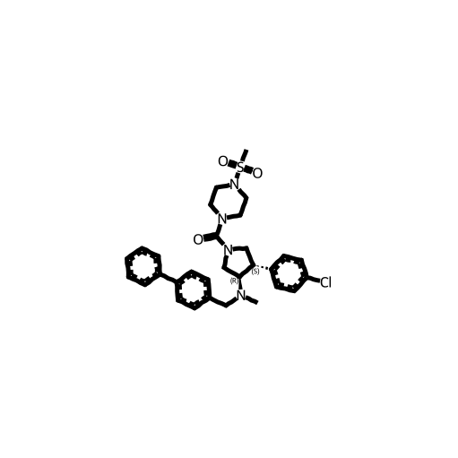 CN(Cc1ccc(-c2ccccc2)cc1)[C@H]1CN(C(=O)N2CCN(S(C)(=O)=O)CC2)C[C@@H]1c1ccc(Cl)cc1